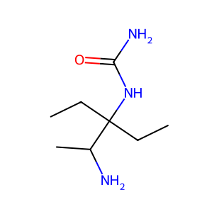 CCC(CC)(NC(N)=O)C(C)N